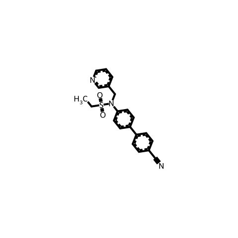 CCS(=O)(=O)N(Cc1cccnc1)c1ccc(-c2ccc(C#N)cc2)cc1